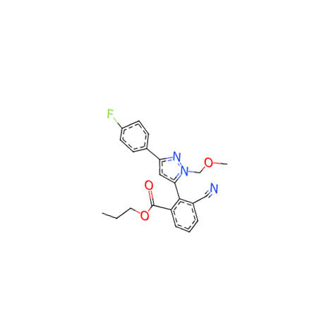 CCCOC(=O)c1cccc(C#N)c1-c1cc(-c2ccc(F)cc2)nn1COC